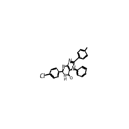 Cc1ccc(-c2nc3nc(-c4ccc(Cl)cc4)[nH]c(=O)c3n2-c2ccccc2)cc1